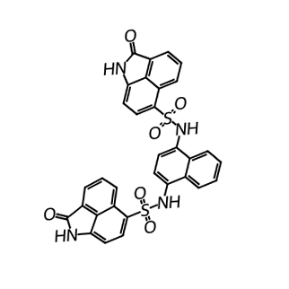 O=C1Nc2ccc(S(=O)(=O)Nc3ccc(NS(=O)(=O)c4ccc5c6c(cccc46)C(=O)N5)c4ccccc34)c3cccc1c23